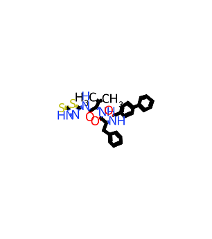 CC(C)C(NC(=O)C(Cc1ccccc1)NC(=O)c1ccc(-c2ccccc2)cc1)C(=O)Nc1n[nH]c(=S)s1